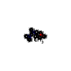 Cc1cccc([Si](c2ccccc2)(c2cccc(-n3c4ccccc4c4cc(-n5c6ccccc6c6ccccc65)ccc43)c2)c2cccc3c2oc2ccccc23)c1